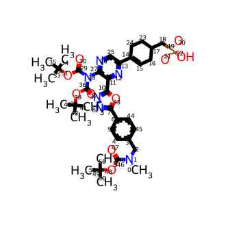 CN(Cc1ccc(-c2nnc(-c3nc(C4=CCC(CS(=O)(=O)O)CC4)cnc3N(C(=O)OC(C)(C)C)C(=O)OC(C)(C)C)o2)cc1)C(=O)OC(C)(C)C